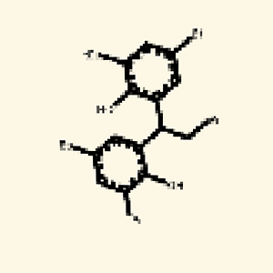 CCc1cc(C(CC(C)C)c2cc(CC)cc(C(C)(C)C)c2O)c(O)c(C(C)(C)C)c1